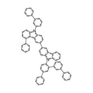 c1ccc(-c2cccc(-c3cc(-c4ccccc4)ccc3-n3c4ccccc4c4cc(-c5ccc6c(c5)c5c(-c7ccccc7)cccc5n6-c5cccc(-c6ccccc6)c5)ccc43)c2)cc1